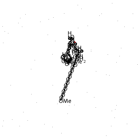 COCCOCCOCCOCCOCCOCCOCCOCCOCCOCCOCCOCCC(=O)NCCCC[C@H](N)C(=O)NCC(=O)N[C@@H](Cc1ccccc1)C(=O)NCC(=O)NCOC[C@](OC1CC1)(c1ccccc1)c1nc(N2CCC(N3CCC(C)(NCC#Cc4ccc(OC)c(N5CCC(=O)N(CNC(=O)[C@@H](CC(N)=O)CC(=O)O)C5=O)c4)CC3)CC2)nc2ccc(-c3cn(C)c(=O)c4[nH]ccc34)cc12